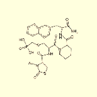 CC(=O)N1C(=O)SCC1C(=O)NC(CSCP(=O)(O)O)C(=O)N1CCCCC1C(=O)NC(Cc1ccc2ccccc2c1)C(N)=O